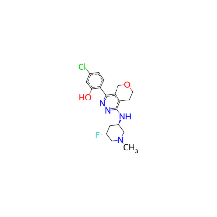 CN1C[C@H](F)C[C@@H](Nc2nnc(-c3ccc(Cl)cc3O)c3c2CCOC3)C1